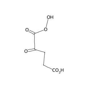 O=C(O)CCC(=O)C(=O)OO